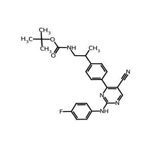 CC(CNC(=O)OC(C)(C)C)c1ccc(-c2nc(Nc3ccc(F)cc3)ncc2C#N)cc1